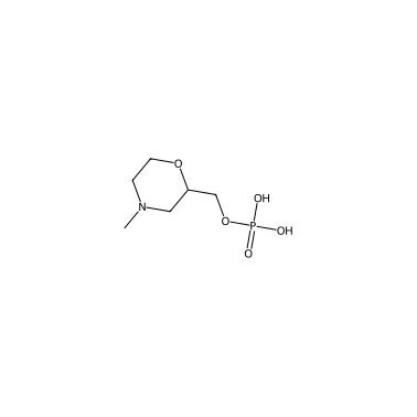 CN1CCOC(COP(=O)(O)O)C1